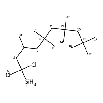 CC(CC([SiH3])(Cl)Cl)CC(C)(C)CC(C)(C)CC(C)(C)C